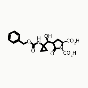 O=C(NC1(C(O)C2C[C@@H](C(=O)O)N(C(=O)O)C2=O)CC1)OCc1ccccc1